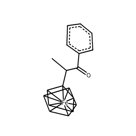 CC(C(=O)c1ccccc1)[C]12[CH]3[CH]4[CH]5[CH]1[Fe]45321678[CH]2[CH]1[CH]6[CH]7[CH]28